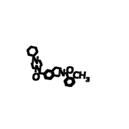 Cc1ccccc1C(=O)N1CCc2cc(C(=O)N3CCN(C4CCCCC4)CC3)ccc2C1